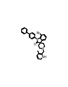 CC1=C(CN2CCC3(CC2)C(=O)N(c2ccc(-c4ccccc4)cc2)c2c(Br)cccc23)NCC=C1